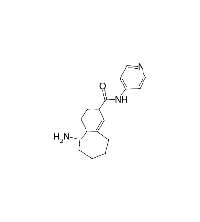 NC1CCCCC2=CC(C(=O)Nc3ccncc3)=CCC21